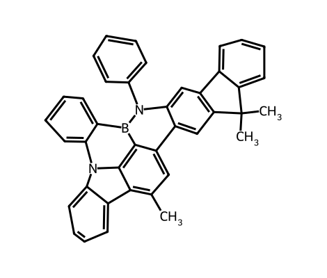 Cc1cc2c3c4c1c1ccccc1n4-c1ccccc1B3N(c1ccccc1)c1cc3c(cc1-2)C(C)(C)c1ccccc1-3